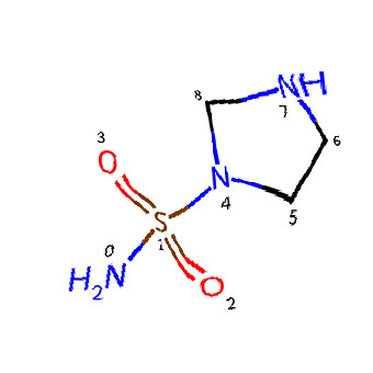 NS(=O)(=O)N1CCNC1